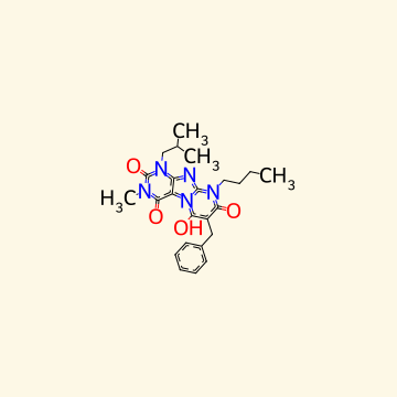 CCCCn1c(=O)c(Cc2ccccc2)c(O)n2c3c(=O)n(C)c(=O)n(CC(C)C)c3nc12